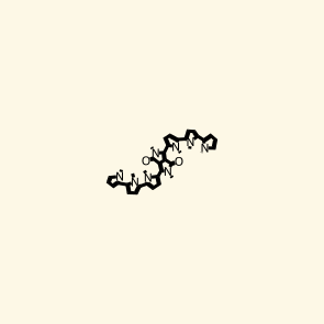 CN1C(=O)C2=C(c3ccc(-c4ccc(-c5cccn5C)n4C)n3C)N(C)C(=O)C2=C1c1ccc(-c2ccc(-c3cccn3C)n2C)n1C